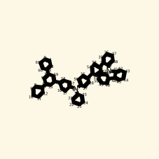 c1ccc(-c2cc(-c3ccccc3)cc(-c3ccc(N(c4ccccc4)c4ccc(-c5ccc(-c6ccccc6-n6c7ccccc7c7ccccc76)cc5)cc4)cc3)c2)cc1